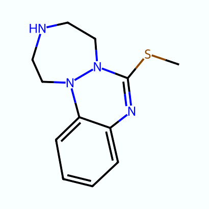 CSC1=Nc2ccccc2N2CCNCCN12